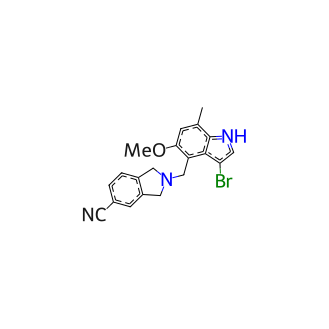 COc1cc(C)c2[nH]cc(Br)c2c1CN1Cc2ccc(C#N)cc2C1